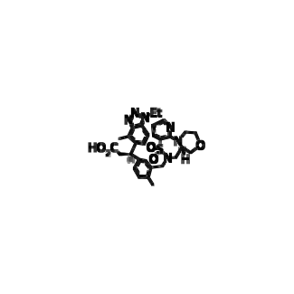 CCn1nnc2c(C)c([C@H](CC(=O)O)c3ccc(C)c(CN4C[C@H]5COCCN5c5ncccc5S4(=O)=O)c3)ccc21